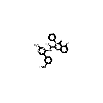 COc1cccc(-c2cnc(N)nc2NC(C)c2nc3cccc(Cl)c3c(=O)n2-c2ccccc2)c1